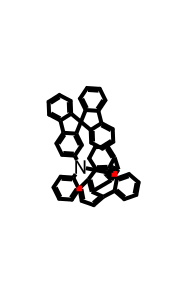 C1=C2C3=C(CC1)c1cccc(c1-c1cc(N(c4ccccc4)c4ccc5c(c4)C4(c6ccccc6-c6ccccc64)c4ccccc4-5)ccc12)-c1ccccc13